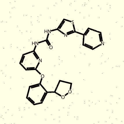 O=C(Nc1cccc(Oc2ccccc2C2CCOO2)n1)Nc1csc(-c2ccncc2)n1